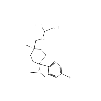 CN(C)[C@]1(c2ccc(F)cc2)CC[C@@](C)(CNC(N)O)CC1